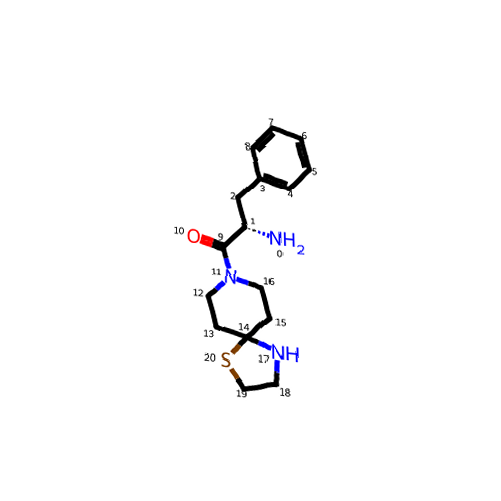 N[C@@H](Cc1ccccc1)C(=O)N1CCC2(CC1)NCCS2